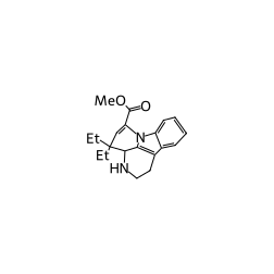 CCC1(CC)C=C(C(=O)OC)n2c3c(c4ccccc42)CCNC31